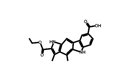 CCOC(=O)c1[nH]c2cc3c([nH]c4ccc(C(=O)O)cc43)c(C)c2c1C